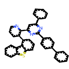 c1ccc(-c2ccc(-c3nc(-c4ccccc4)cc(-c4ncccc4-c4cccc5sc6ccccc6c45)n3)cc2)cc1